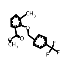 COC(=O)c1cccc(C)c1OCc1ccc(C(F)(F)F)cc1